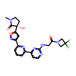 CN1CC[C@@](O)(c2cc(-c3cccc(-c4ccnc(NCC(=O)N5CC(F)(F)C5)n4)n3)no2)C1=O